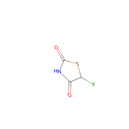 O=C1NC(=O)C(F)S1